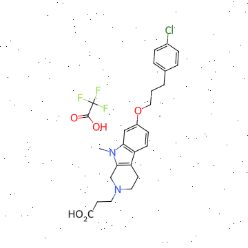 Cn1c2c(c3ccc(OCCCc4ccc(Cl)cc4)cc31)CCN(CCC(=O)O)C2.O=C(O)C(F)(F)F